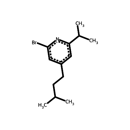 CC(C)CCc1cc(Br)nc(C(C)C)c1